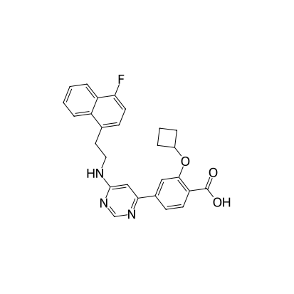 O=C(O)c1ccc(-c2cc(NCCc3ccc(F)c4ccccc34)ncn2)cc1OC1CCC1